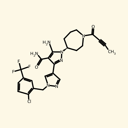 CC#CC(=O)N1CCC[C@H](n2nc(-c3cnn(Cc4cc(C(F)(F)F)ccc4Cl)c3)c(C(N)=O)c2N)CC1